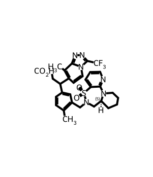 Cc1ccc(C(CC(=O)O)c2ccn3c(C(F)(F)F)nnc3c2C)cc1CN1C[C@@H]2CCCCN2c2ncccc2S1(=O)=O